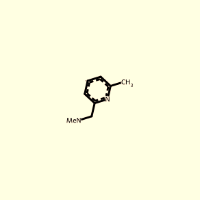 CNCc1c[c]cc(C)n1